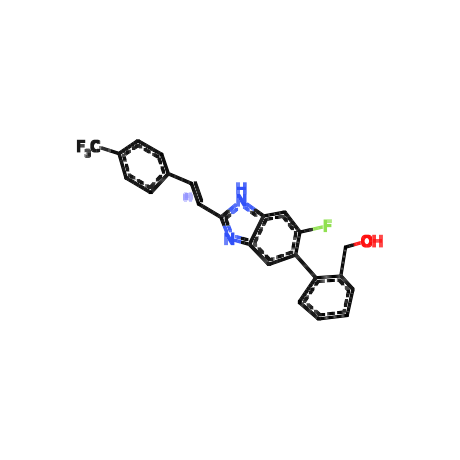 OCc1ccccc1-c1cc2nc(/C=C/c3ccc(C(F)(F)F)cc3)[nH]c2cc1F